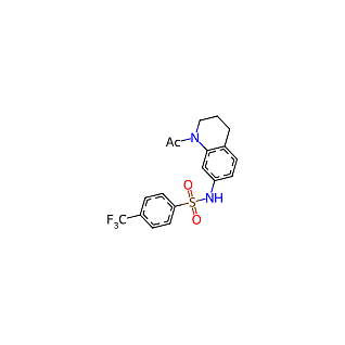 CC(=O)N1CCCc2ccc(NS(=O)(=O)c3ccc(C(F)(F)F)cc3)cc21